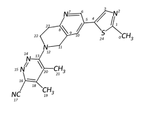 Cc1ncc(-c2cnc3c(c2)CN(c2nnc(C#N)c(C)c2C)CC3)s1